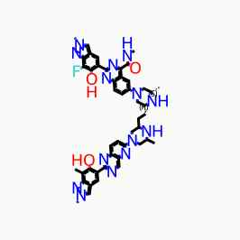 CNC(=O)c1nc(-c2cc3cn(C)nc3c(F)c2O)nc2ccc(N3C[C@@H](CCC4CN(c5ccc6nc(-c7cc8cn(C)nc8c(C)c7O)ncc6n5)CC(C)N4)N[C@@H](C)C3)cc12